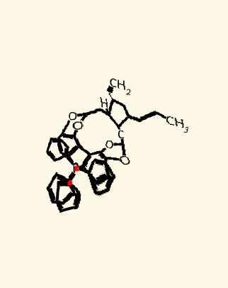 C=C[C@@H]1CC(/C=C/C)C2CC3Oc4ccc(P(c5ccccc5)c5ccccc5)c(c4O3)-c3c(P(c4ccccc4)c4ccccc4)ccc4c3OC(C[C@@H]21)O4